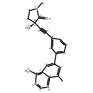 Cc1cc(-c2cccc(C#C[C@]3(O)CCN(C)C3=O)c2)cc2c(N)ncnc12